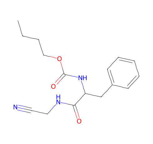 CCCCOC(=O)NC(Cc1ccccc1)C(=O)NCC#N